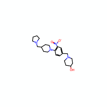 O=[N+]([O-])c1cc(CN2CCC(O)CC2)ccc1N1CCC(CN2CCCC2)CC1